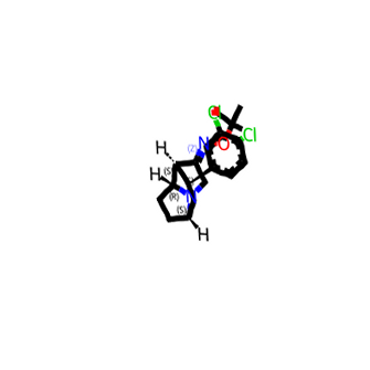 CC(C)(C)O/N=C1\CN2[C@H]3CC[C@@H]2[C@@H]1[C@@H](c1ccc(Cl)c(Cl)c1)C3